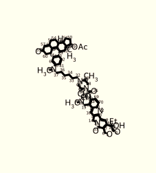 CC[C@@]1(O)C(=O)OCc2c1cc1n(c2=O)Cc2cc3c(CN(C)C)c(OC(=O)N4C[C@@H](C)N(CCCCCCN(C)c5ccc([C@H]6C[C@]7(C)[C@H](OC(C)=O)CC[C@H]7C7CCC8=CC(=O)CCC8=C76)cc5)C[C@@H]4C)ccc3nc2-1